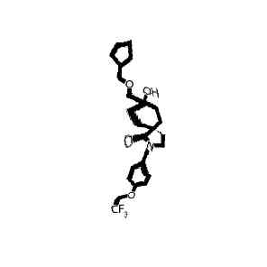 O=C1N(c2ccc(OCC(F)(F)F)cc2)CC[C@]12CC[C@@](O)(COCC1CCCC1)CC2